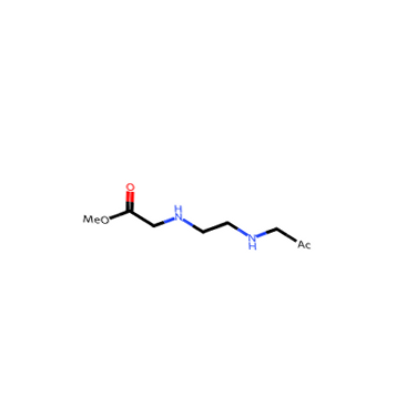 COC(=O)CNCCNCC(C)=O